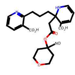 O=NC1(OC(=O)CC2(CCCc3ncccc3C(=O)O)NC=CC=C2C(=O)O)CCOCC1